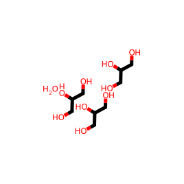 O.OCC(O)CO.OCC(O)CO.OCC(O)CO